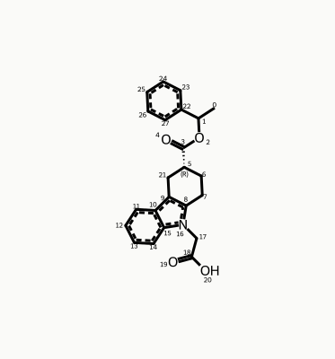 CC(OC(=O)[C@@H]1CCc2c(c3ccccc3n2CC(=O)O)C1)c1ccccc1